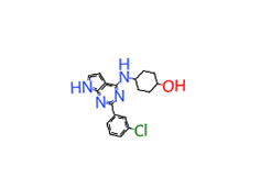 OC1CCC(Nc2nc(-c3cccc(Cl)c3)nc3[nH]ccc23)CC1